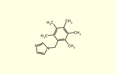 Cc1c(C)c(C)c(Cn2ccnc2)c(C)c1C